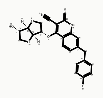 N#Cc1c(O[C@H]2CO[C@H]3[C@@H]2OC[C@@H]3O)c2ccc(Cc3ccc(F)cc3)cc2[nH]c1=O